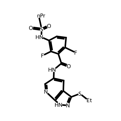 CCCS(=O)(=O)Nc1ccc(F)c(C(=O)Nc2cnc3[nH]nc(SCC)c3c2)c1F